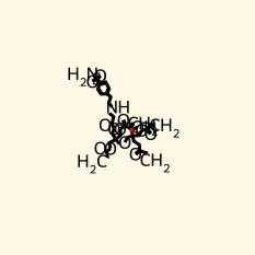 C=CC(=O)CCC(CO)(COCC(COC(=O)C=C)(COC(=O)C=C)COC(=O)CCNCCc1ccc(S(N)(=O)=O)cc1)COC(=O)C=C